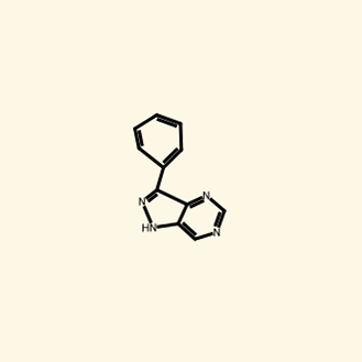 c1ccc(-c2n[nH]c3cncnc23)cc1